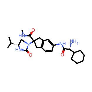 CNC(=O)C1(N2C[C@@H](C(C)C)NC2=O)Cc2ccc(NC(=O)[C@@H](N)C3CCCCC3)cc2C1